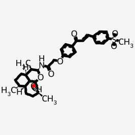 C[C@H]1[C@H](NC(=O)COc2ccc(C(=O)/C=C/c3ccc(S(C)(=O)=O)cc3)cc2)O[C@@H]2O[C@@]3(C)CC[C@H]4[C@H](C)CC[C@@H]1[C@@]24OO3